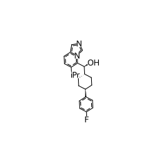 CC(C)c1ccc2cncn2c1[C@@H](O)[C@H]1CC[C@H](c2ccc(F)cc2)CC1